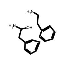 NC(O)Cc1ccccc1.NCCc1ccccc1